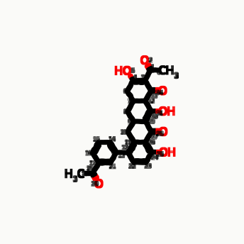 CC(=O)C1=C(O)CC2CC3Cc4c(-c5cccc(C(C)=O)c5)ccc(O)c4C(=O)C3=C(O)C2C1=O